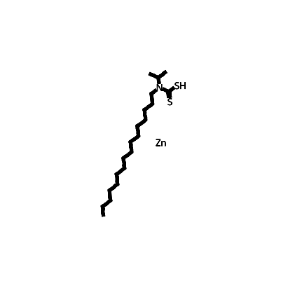 CCCCCCCCCCCCCCCCN(C(=S)S)C(C)C.[Zn]